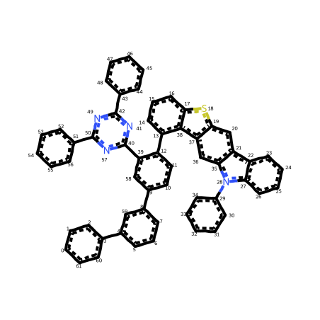 c1ccc(-c2cccc(-c3ccc(-c4cccc5sc6cc7c8ccccc8n(-c8ccccc8)c7cc6c45)c(-c4nc(-c5ccccc5)nc(-c5ccccc5)n4)c3)c2)cc1